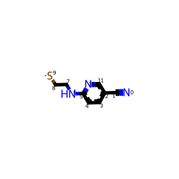 N#Cc1ccc(NCC[S])nc1